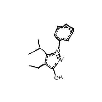 CCc1c(O)nn(-c2ccccc2)c1C(C)C